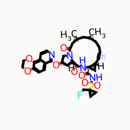 C[C@H]1CC/C=C\[C@@H]2C[C@@]2(C(=O)NS(=O)(=O)C2(CF)CC2)NC(=O)[C@@H]2C[C@@H](Oc3nccc4c5c(ccc34)OCCO5)CN2C(=O)C[C@H](C)C1